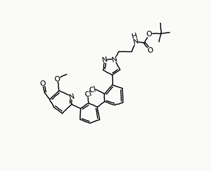 COc1nc(-c2cccc(-c3cccc(-c4cnn(CCNC(=O)OC(C)(C)C)c4)c3Cl)c2Cl)ccc1C=O